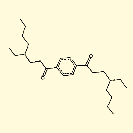 CCCCC(CC)CCC(=O)c1ccc(C(=O)CCC(CC)CCCC)cc1